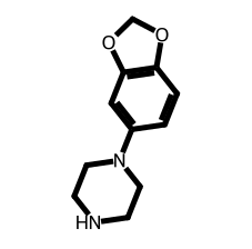 c1cc2c(cc1N1CCNCC1)OCO2